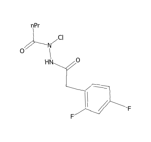 CCCC(=O)N(Cl)NC(=O)Cc1ccc(F)cc1F